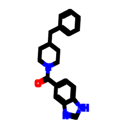 O=C(c1ccc2[nH]cnc2c1)N1CCC(Cc2ccccc2)CC1